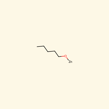 CCCCC[O][Zn]